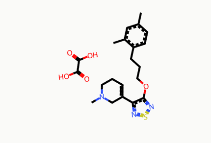 Cc1ccc(CCCOc2nsnc2C2=CCCN(C)C2)c(C)c1.O=C(O)C(=O)O